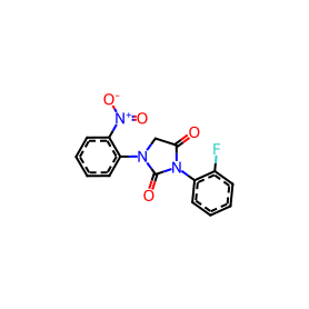 O=C1CN(c2ccccc2[N+](=O)[O-])C(=O)N1c1ccccc1F